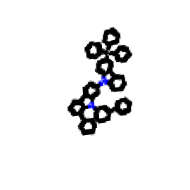 c1ccc(-c2cccc(-n3c4cc(-n5c6ccccc6c6cc([Si](c7ccccc7)(c7ccccc7)c7ccccc7)ccc65)ccc4c4cccc(-c5ccccc5)c43)c2)cc1